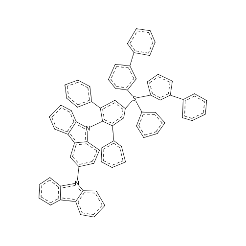 c1ccc(-c2cccc(S(c3ccccc3)(c3cccc(-c4ccccc4)c3)c3cc(-c4ccccc4)c(-n4c5ccccc5c5cc(-n6c7ccccc7c7ccccc76)ccc54)c(-c4ccccc4)c3)c2)cc1